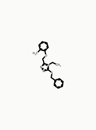 CCn1c(COc2ccccc2C)nnc1SCc1ccccc1